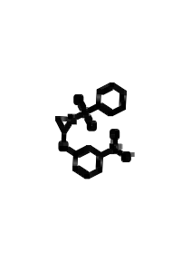 O=[N+]([O-])c1cccc(OC2CN2S(=O)(=O)c2ccccc2)c1